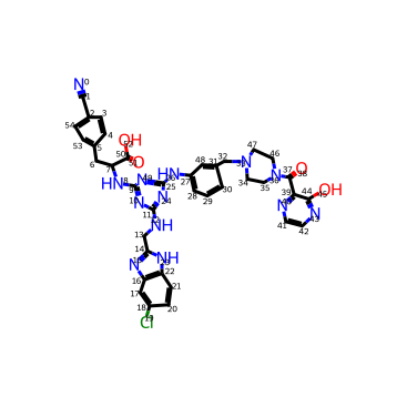 N#Cc1ccc(CC(Nc2nc(NCc3nc4cc(Cl)ccc4[nH]3)nc(Nc3cccc(CN4CCN(C(=O)c5nccnc5O)CC4)c3)n2)C(=O)O)cc1